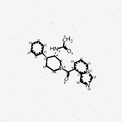 CC(=O)N[C@@H]1CN(C(=O)c2cccn3cncc23)CC[C@H]1c1ccccc1